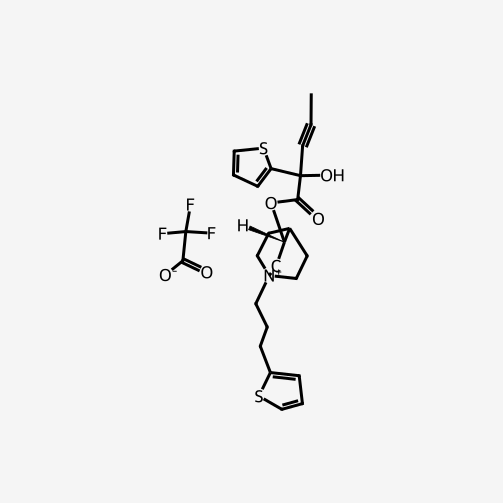 CC#CC(O)(C(=O)O[C@H]1C[N+]2(CCCc3cccs3)CCC1CC2)c1cccs1.O=C([O-])C(F)(F)F